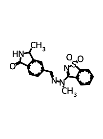 CC1NC(=O)c2ccc(/C=N/N(C)C3=NS(=O)(=O)c4ccccc43)cc21